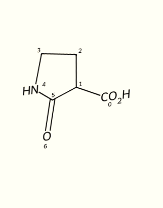 O=C(O)C1CCNC1=O